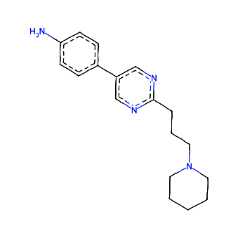 Nc1ccc(-c2cnc(CCCN3CCCCC3)nc2)cc1